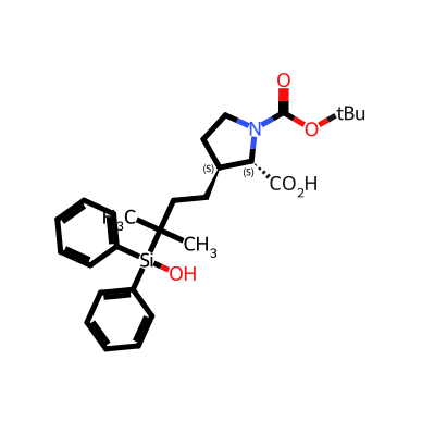 CC(C)(C)OC(=O)N1CC[C@H](CCC(C)(C)[Si](O)(c2ccccc2)c2ccccc2)[C@H]1C(=O)O